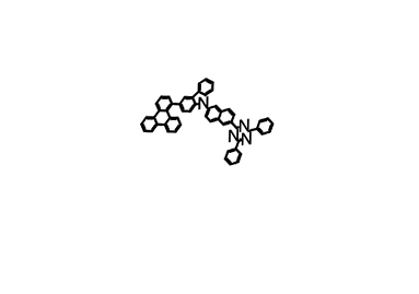 c1ccc(-c2nc(-c3ccccc3)nc(-c3ccc4cc(-n5c6ccccc6c6cc(-c7cccc8c9ccccc9c9ccccc9c78)ccc65)ccc4c3)n2)cc1